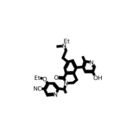 CCOc1cc(C(C)N2CCc3c(cc(CCN(C)CC)cc3-c3cc(O)cnc3C)C2=O)ncc1C#N